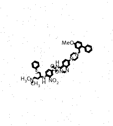 COc1ccc(-c2ccccc2)c(CN2CCN(c3ccc4c(NS(=O)(=O)c5ccc(NC(CCN(C)C)CSc6ccccc6)c([N+](=O)[O-])c5)ncnc4c3)CC2)c1